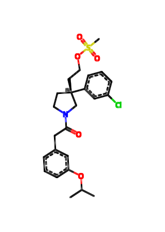 CC(C)Oc1cccc(CC(=O)N2CC[C@](CCOS(C)(=O)=O)(c3cccc(Cl)c3)C2)c1